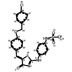 O=C1N=C(Nc2ccc(NS(=O)(=O)C(F)(F)F)cc2)S/C1=C\c1ccc(OCc2ccc(Cl)cc2)cc1